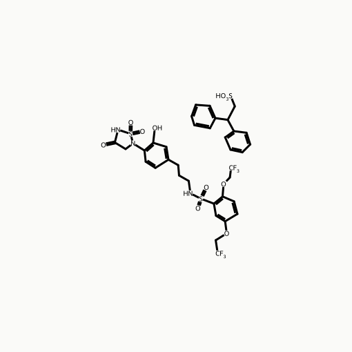 O=C1CN(c2ccc(CCCNS(=O)(=O)c3cc(OCC(F)(F)F)ccc3OCC(F)(F)F)cc2O)S(=O)(=O)N1.O=S(=O)(O)CC(c1ccccc1)c1ccccc1